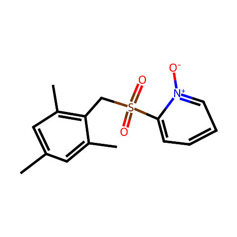 Cc1cc(C)c(CS(=O)(=O)c2cccc[n+]2[O-])c(C)c1